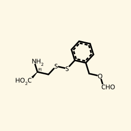 N[C@@H](CSSc1ccccc1COC=O)C(=O)O